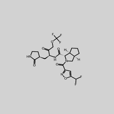 O=C1NCC[C@H]1C[C@H](NC(=O)[C@@H]1[C@H]2CCC[C@H]2CN1C(=O)c1cc(C(F)F)on1)C(=O)COC(F)(F)F